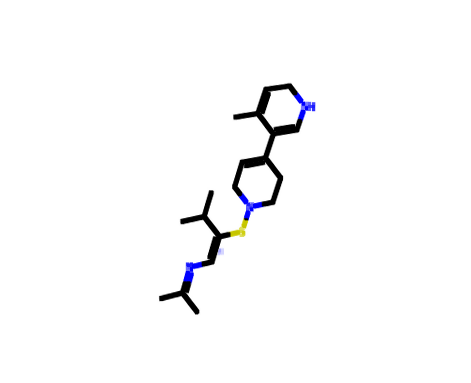 CC1=CCNC=C1C1=CCN(S/C(=C/N=C(C)C)C(C)C)CC1